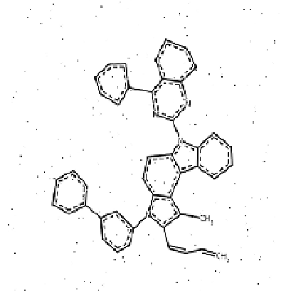 C=C/C=C\c1c(C)c2c3c4ccccc4n(-c4nc(-c5ccccc5)c5ccccc5n4)c3ccc2n1-c1cccc(-c2ccccc2)c1